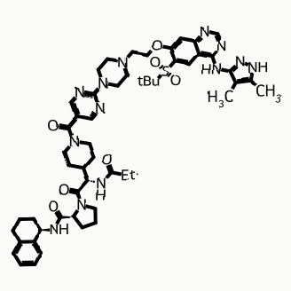 C[CH]C(=O)N[C@H](C(=O)N1CCC[C@H]1C(=O)N[C@@H]1CCCc2ccccc21)C1CCN(C(=O)c2cnc(N3CCN(CCOc4cc5ncnc(Nc6n[nH]c(C)c6C)c5cc4S(=O)(=O)C(C)(C)C)CC3)nc2)CC1